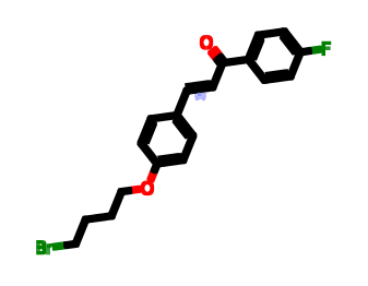 O=C(/C=C/c1ccc(OCCCCBr)cc1)c1ccc(F)cc1